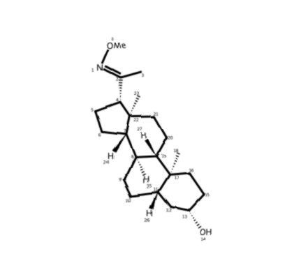 CO/N=C(\C)[C@H]1CC[C@H]2[C@@H]3CC[C@H]4C[C@@H](O)CC[C@]4(C)[C@H]3CC[C@]12C